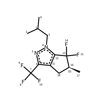 CC(C)Cn1nc(C(F)(F)F)c2c1C(F)(F)[C@@H](C)C2